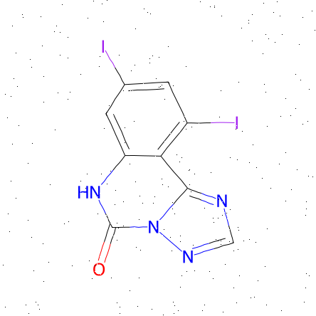 O=c1[nH]c2cc(I)cc(I)c2c2ncnn12